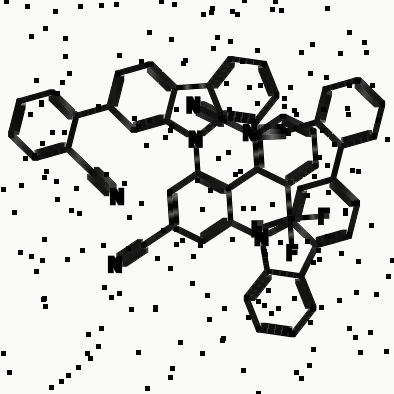 N#Cc1cc(-n2c3ccccc3c3ccc(-c4ccccc4C#N)cc32)c(-c2c(C#N)cccc2C(F)(F)F)c(-n2c3ccccc3c3ccc(-c4ccccc4C#N)cc32)c1